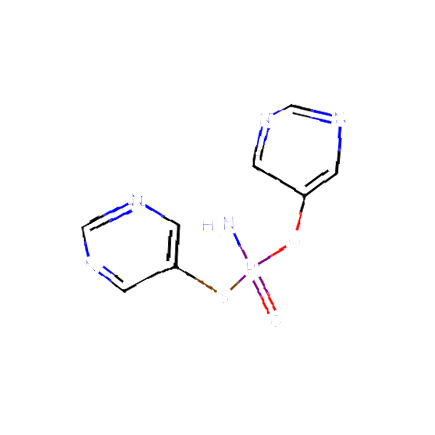 NP(=O)(Oc1cncnc1)Sc1cncnc1